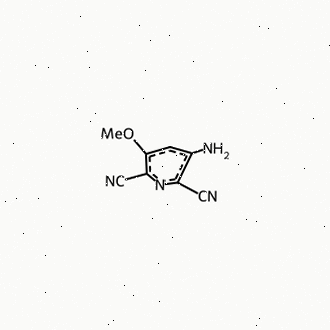 COc1cc(N)c(C#N)nc1C#N